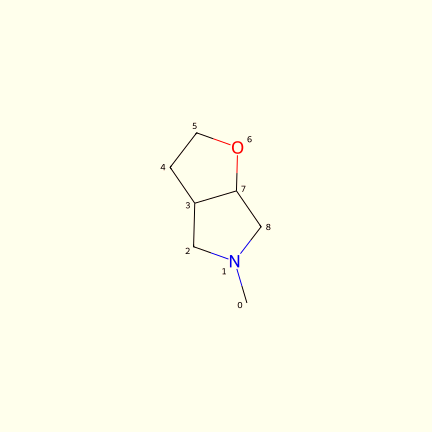 CN1CC2CCOC2C1